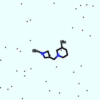 CC(C)(C)C1CCCN(CC2CN(C(C)(C)C)C2)C1